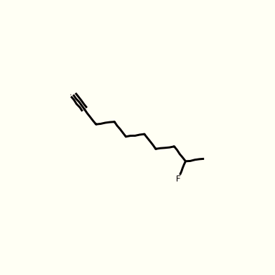 [C]#CCCCCCCC(C)F